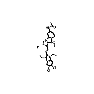 CCN1C(=CC=C2CCn3c2[n+](CC)c2ccc(NC(C)=O)cc23)N(CC)c2cc(Cl)c(Cl)cc21.[I-]